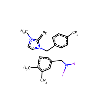 Cc1ccc(CN(I)I)cc1C.Cn1ccn(Cc2ccc(C(F)(F)F)cc2)[c]1=[Pt]